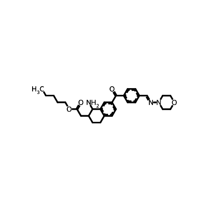 CCCCCOC(=O)CC1CCc2ccc(C(=O)c3ccc(C=NN4CCOCC4)cc3)cc2C1N